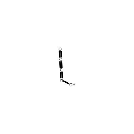 O=C=C=NO